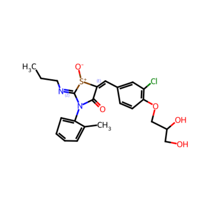 CCC/N=C1/N(c2ccccc2C)C(=O)/C(=C\c2ccc(OCC(O)CO)c(Cl)c2)[S+]1[O-]